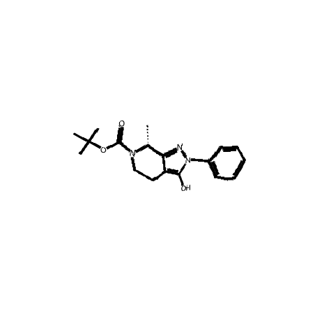 C[C@@H]1c2nn(-c3ccccc3)c(O)c2CCN1C(=O)OC(C)(C)C